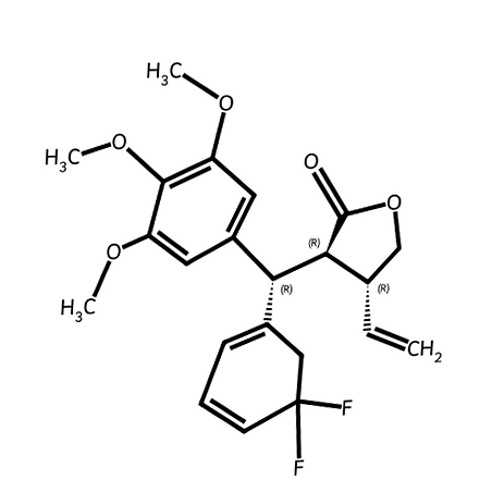 C=C[C@H]1COC(=O)[C@@H]1[C@H](C1=CC=CC(F)(F)C1)c1cc(OC)c(OC)c(OC)c1